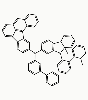 CC1CC=CC=C1c1ccccc1N1c2cc(N(c3cccc(-c4ccccc4)c3)c3ccc4c(c3)-c3c5ccccc5cc5cccc-4c35)ccc2C2C=CC=CC21C